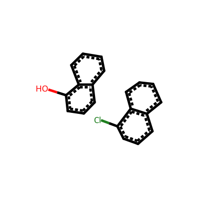 Clc1cccc2ccccc12.Oc1cccc2ccccc12